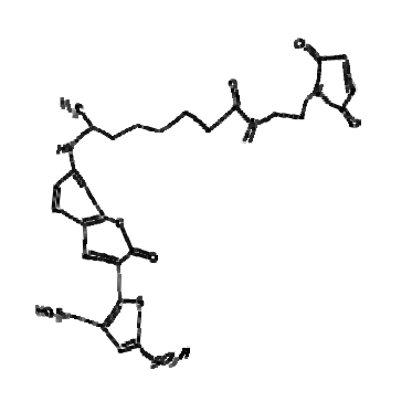 CC(CCCCCC(=O)NCCN1C(=O)C=CC1=O)Nc1ccc2cc(-c3sc(S(=O)(=O)O)cc3S(=O)(=O)O)c(=O)oc2c1